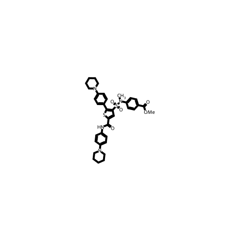 COC(=O)c1ccc(N(C)S(=O)(=O)c2cc(C(=O)Nc3ccc(N4CCCCC4)cc3)sc2-c2ccc(N3CCCCC3)cc2)cc1